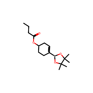 CCCC(=O)OC1CC=C(B2OC(C)(C)C(C)(C)O2)CC1